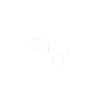 Nc1nccc(N2C[C@@H]3CCCN[C@@H]3C2)n1